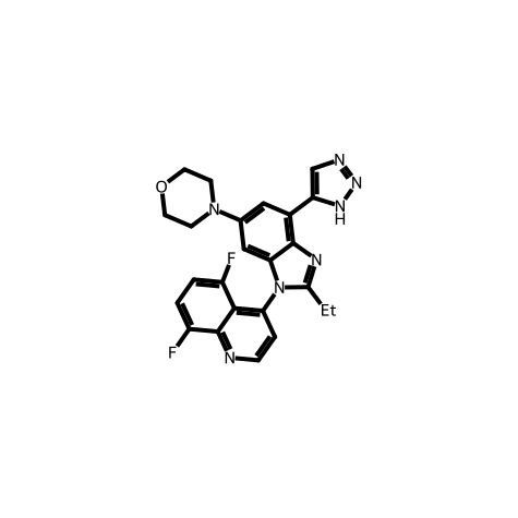 CCc1nc2c(-c3cnn[nH]3)cc(N3CCOCC3)cc2n1-c1ccnc2c(F)ccc(F)c12